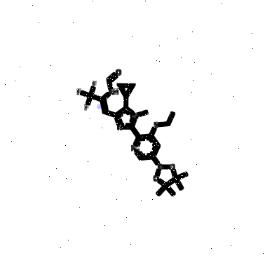 CCSc1cc(B2OC(C)(C)C(C)(C)O2)cnc1-c1nc(/C=C(\NC=O)C(F)(F)F)c(C2CC2)n1C